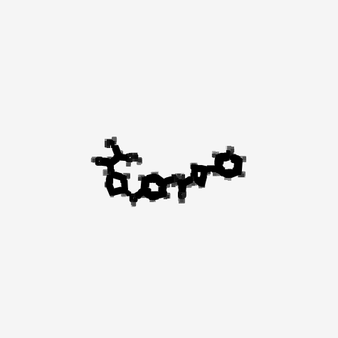 CC(C)C(C)C(=O)N1CC[C@@H](Oc2ccc(NC(=O)N3CC(c4cccnc4)C3)cc2)C1